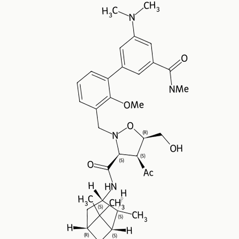 CNC(=O)c1cc(-c2cccc(CN3O[C@@H](CO)[C@@H](C(C)=O)[C@H]3C(=O)N[C@H]3C[C@H]4C[C@@H]([C@@H]3C)C4(C)C)c2OC)cc(N(C)C)c1